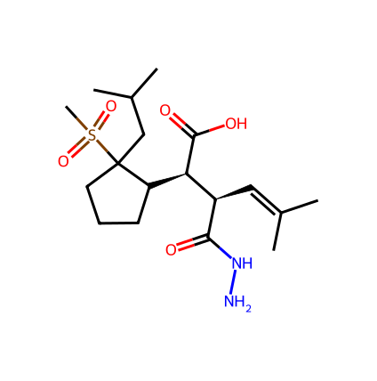 CC(C)=C[C@@H](C(=O)NN)[C@H](C(=O)O)C1CCCC1(CC(C)C)S(C)(=O)=O